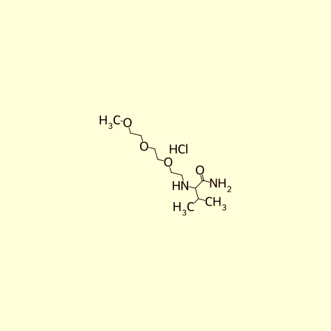 COCCOCCOCCNC(C(N)=O)C(C)C.Cl